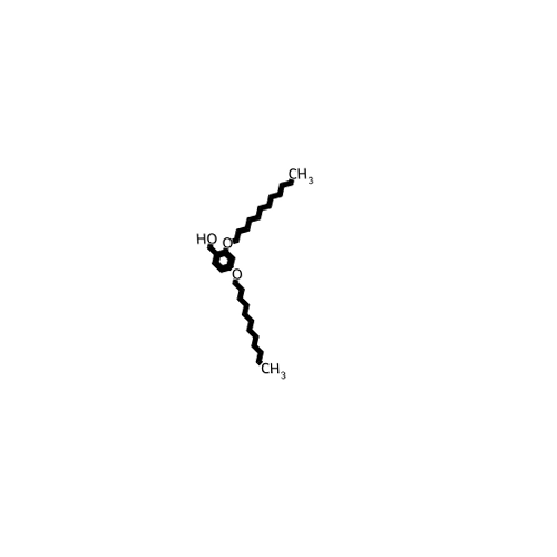 CCCCCCCCCCCCOc1ccc(CO)c(OCCCCCCCCCCCC)c1